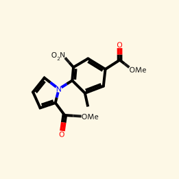 COC(=O)c1cc(C)c(-n2cccc2C(=O)OC)c([N+](=O)[O-])c1